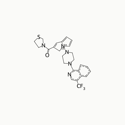 O=C(C1=CC2=CC=C[N@@+]2(N2CCN(c3ncc(C(F)(F)F)c4ccccc34)CC2)C1)N1CCSC1